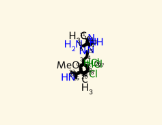 COc1c(CCc2nc(N)c3c(C)n[nH]c3n2)cc(Cl)c(C)c1C1CNC1.Cl.Cl